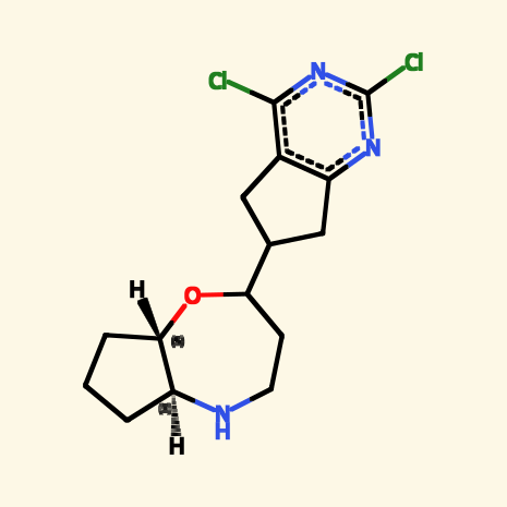 Clc1nc(Cl)c2c(n1)CC(C1CCN[C@H]3CCC[C@@H]3O1)C2